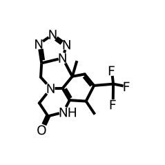 CC1C(C(F)(F)F)=CC2(C)C3=C1NC(=O)CN3Cc1nnnn12